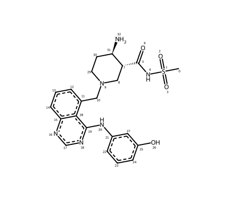 CS(=O)(=O)NC(=O)[C@@H]1CN(Cc2cccc3ncnc(Nc4cccc(O)c4)c23)CC[C@H]1N